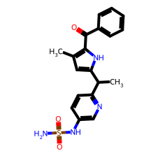 Cc1cc(C(C)c2ccc(NS(N)(=O)=O)cn2)[nH]c1C(=O)c1ccccc1